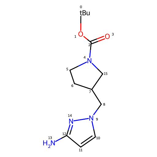 CC(C)(C)OC(=O)N1CCC(Cn2ccc(N)n2)C1